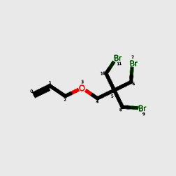 C=CCOCC(CBr)(CBr)CBr